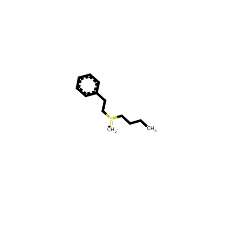 [CH2][SH](CCCC)CCc1ccccc1